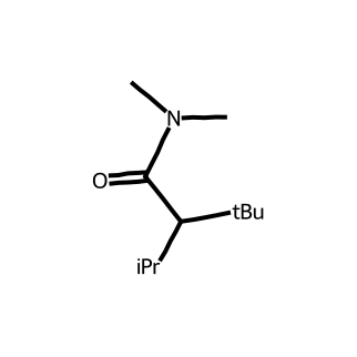 CC(C)C(C(=O)N(C)C)C(C)(C)C